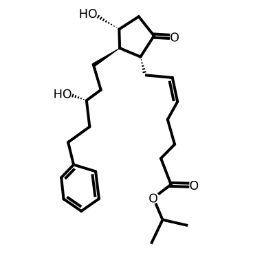 CC(C)OC(=O)CCC/C=C\C[C@H]1C(=O)C[C@@H](O)[C@@H]1CC[C@@H](O)CCc1ccccc1